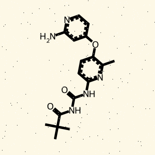 Cc1nc(NC(=O)NC(=O)C(C)(C)C)ccc1Oc1ccnc(N)c1